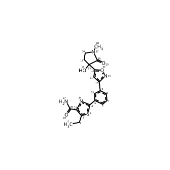 CCc1sc(-c2cccc(-c3cc(C4(O)CCN(C)C4=O)on3)c2)nc1C(N)=O